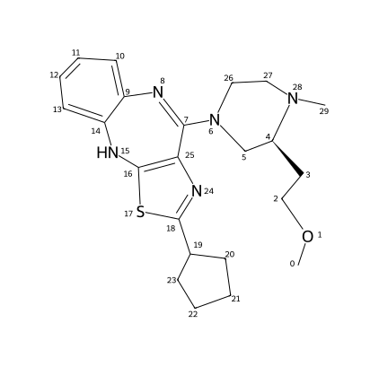 COCC[C@H]1CN(C2=Nc3ccccc3Nc3sc(C4CCCC4)nc32)CCN1C